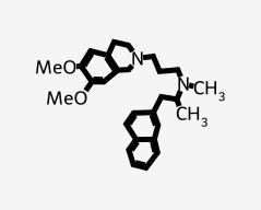 COc1cc2c(cc1OC)CN(CCCN(C)C(C)Cc1ccc3ccccc3c1)CC2